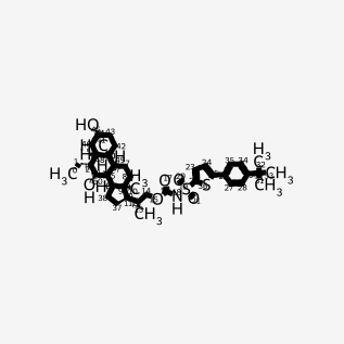 CC[C@H]1[C@@H](O)[C@@H]2[C@H](CC[C@]3(C)[C@@H]([C@H](C)COC(=O)NS(=O)(=O)c4ccc(-c5ccc(C(C)(C)C)cc5)s4)CC[C@@H]23)[C@@]2(C)CC[C@@H](O)C[C@@H]12